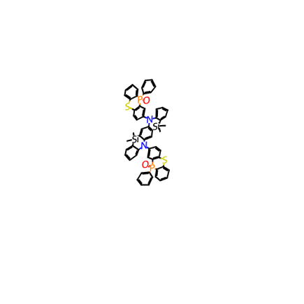 C[Si]1(C)c2ccccc2N(c2ccc3c(c2)P(=O)(c2ccccc2)c2ccccc2S3)c2cc3c(cc21)N(c1ccc2c(c1)P(=O)(c1ccccc1)c1ccccc1S2)c1ccccc1[Si]3(C)C